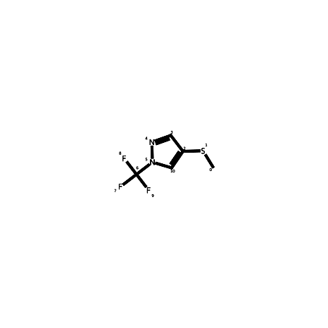 CSc1cnn(C(F)(F)F)c1